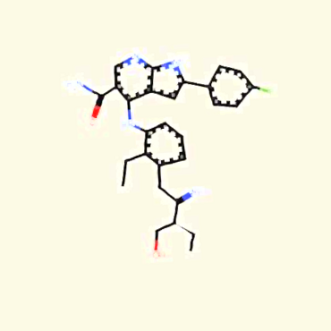 CCc1c(CC(=N)[C@@H](CC)CO)cccc1Nc1c(C(N)=O)cnc2[nH]c(-c3ccc(F)cc3)cc12